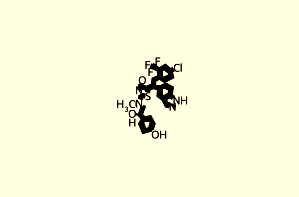 CN(C[C@H](O)c1ccc(O)cc1)C1=NC(=O)C(=C(Cc2ccc(Cl)cc2C(F)(F)F)c2ccc3[nH]ncc3c2)S1